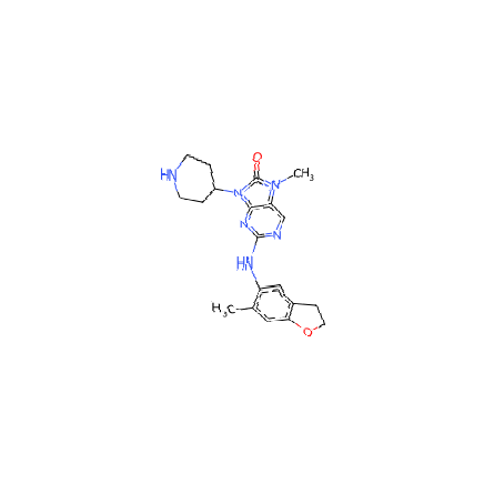 Cc1cc2c(cc1Nc1ncc3c(n1)n(C1CCNCC1)c(=O)n3C)CCO2